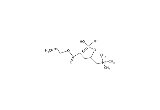 C=CCOC(=O)CCC(C[N+](C)(C)C)OP(=O)(O)O